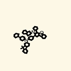 CC1(C)c2ccccc2-c2ccc(N(c3ccc(-c4ccccc4)cc3)c3ccc(-c4cc5c6ccccc6oc5c5c6ccccc6n(-c6ccc7ccccc7c6)c45)cc3)cc21